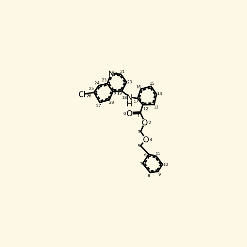 O=C(OCOCc1ccccc1)c1ccccc1Nc1ccnc2cc(Cl)ccc12